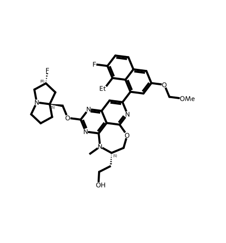 CCc1c(F)ccc2cc(OCOC)cc(-c3cc4nc(OC[C@@]56CCCN5C[C@H](F)C6)nc5c4c(n3)OC[C@H](CCO)N5C)c12